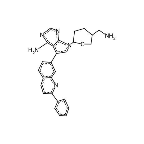 NCC1CCC(n2cc(-c3ccc4ccc(-c5ccccc5)nc4c3)c3c(N)ncnc32)CC1